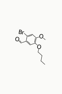 CCCCOc1cc(C=O)c(Br)cc1OC